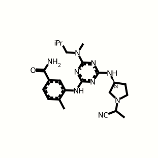 Cc1ccc(C(N)=O)cc1Nc1nc(N[C@H]2CCN(C(C)C#N)C2)nc(N(C)CC(C)C)n1